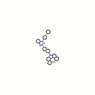 c1ccc(-c2ccc(-c3nc(-c4ccc5cc(-n6c7ccc8cccc9sc%10cccc%11ccc6c(c%11%10)c7c89)ccc5c4)nc4ccccc34)cc2)cc1